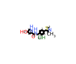 Cc1ncsc1-c1ccc(CNC(=O)C2CC(O)CN2)cc1.Cl